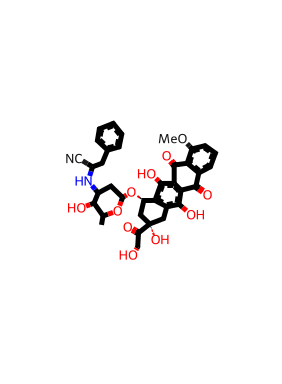 COc1cccc2c1C(=O)c1c(O)c3c(c(O)c1C2=O)C[C@@](O)(C(=O)CO)C[C@@H]3OC1CC(NC(C#N)Cc2ccccc2)C(O)C(C)O1